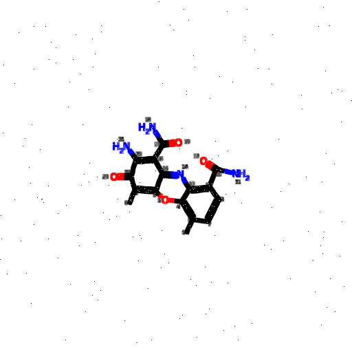 Cc1c2oc3c(C)ccc(C(N)=O)c3nc-2c(C(N)=O)c(N)c1=O